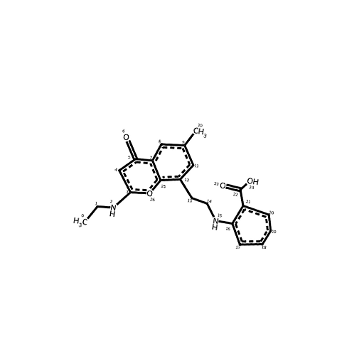 CCNc1cc(=O)c2cc(C)cc(CCNc3ccccc3C(=O)O)c2o1